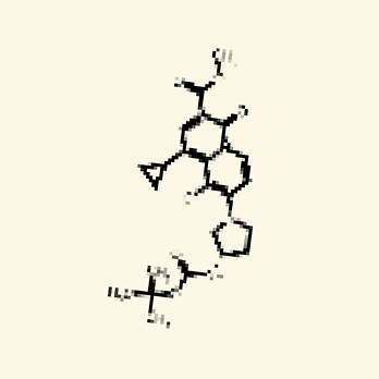 COC(=O)c1cc(C2CC2)c2c(C)c(N3CC[C@H](NC(=O)OC(C)(C)C)C3)ccn2c1=O